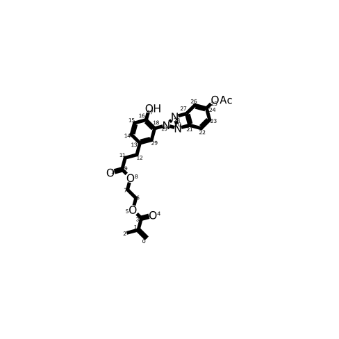 C=C(C)C(=O)OCCOC(=O)CCc1ccc(O)c(-n2n3c4ccc(OC(C)=O)cc4n23)c1